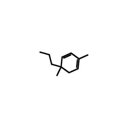 CCCC1(C)C=CC(C)=CC1